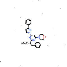 COC(Cc1ccccc1)c1nc(N2CCOCC2)cc(-n2ccc(-c3ccccc3)n2)n1